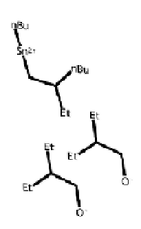 CCC(CC)C[O-].CCC(CC)C[O-].CCC[CH2][Sn+2][CH2]C(CC)CCCC